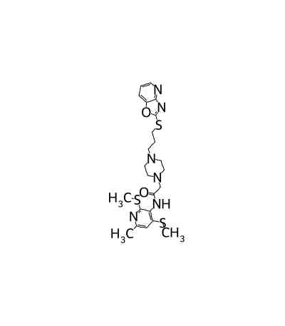 CSc1cc(C)nc(SC)c1NC(=O)CN1CCN(CCCSc2nc3ncccc3o2)CC1